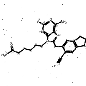 C#Cc1cc2c(cc1Cc1nc3c(N)nc(F)nc3n1CCCCCC(N)=O)CCC2